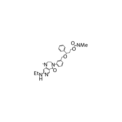 CCNc1cc2c(cn1)C(=O)N(c1cccc(COC(CCOC(=O)NC)c3ccccc3)c1)CCN2C